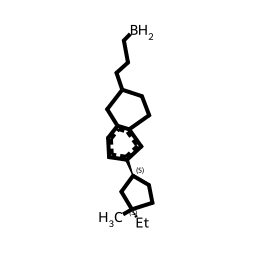 BCCCC1CCc2cc([C@H]3CC[C@](C)(CC)C3)ccc2C1